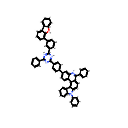 c1ccc(-c2nc(-c3ccc(-c4ccc5c(c4)nc(-c4ccccc4)c4ccc6c(c7ccccc7n6-c6ccccc6)c45)cc3)nc(-c3cccc(-c4cccc5c4oc4ccccc45)c3)n2)cc1